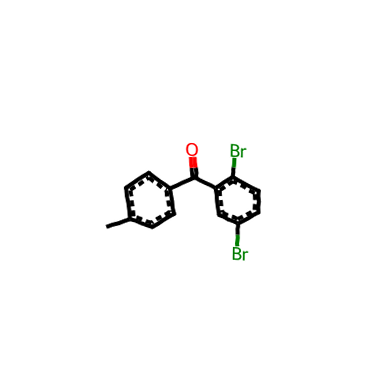 Cc1ccc(C(=O)c2cc(Br)ccc2Br)cc1